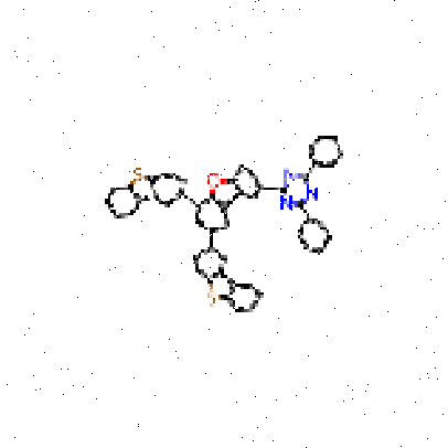 c1ccc(-c2nc(-c3ccccc3)nc(-c3ccc4oc5c(-c6ccc7sc8ccccc8c7c6)cc(-c6ccc7sc8ccccc8c7c6)cc5c4c3)n2)cc1